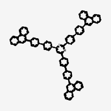 c1ccc2c(c1)cc(-c1ccc(-c3ccc(-c4cc(-c5ccc(-c6ccc(-c7cc8ccccc8c8ccccc78)cc6)cc5)nc(-c5ccc(-c6ccc(-c7cc8ccccc8c8ccccc78)cc6)cc5)n4)cc3)cc1)c1ccccc12